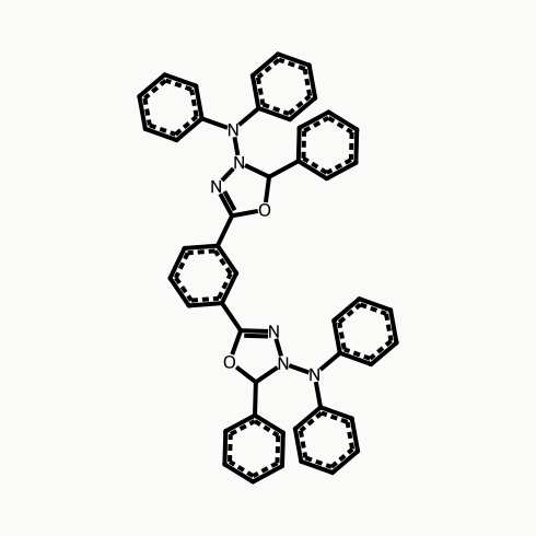 c1ccc(C2OC(c3cccc(C4=NN(N(c5ccccc5)c5ccccc5)C(c5ccccc5)O4)c3)=NN2N(c2ccccc2)c2ccccc2)cc1